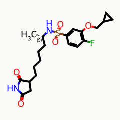 C[C@@H](CCCCCC1CC(=O)NC1=O)NS(=O)(=O)c1ccc(F)c(OCC2CC2)c1